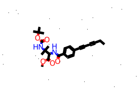 CCC#CC#Cc1ccc(C(=O)NC(C(=O)OC)C(C)(C)NC(=O)OC(C)(C)C)cc1